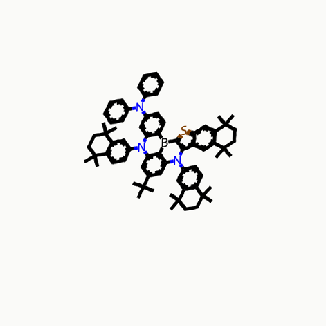 CC(C)(C)c1cc2c3c(c1)N(c1ccc4c(c1)C(C)(C)CCC4(C)C)c1c(sc4cc5c(cc14)C(C)(C)CCC5(C)C)B3c1ccc(N(c3ccccc3)c3ccccc3)cc1N2c1ccc2c(c1)C(C)(C)CCC2(C)C